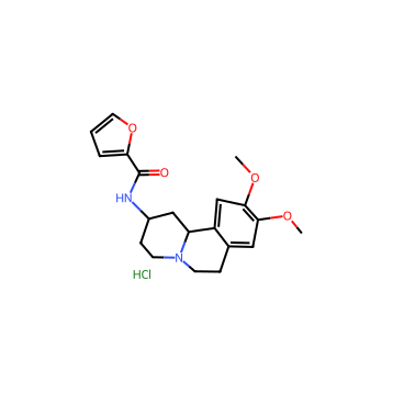 COc1cc2c(cc1OC)C1CC(NC(=O)c3ccco3)CCN1CC2.Cl